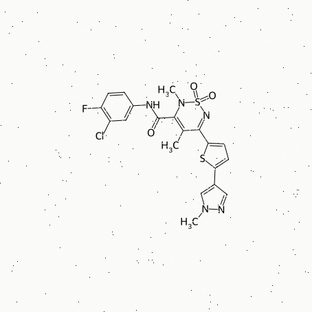 CC1=C(C(=O)Nc2ccc(F)c(Cl)c2)N(C)S(=O)(=O)N=C1c1ccc(-c2cnn(C)c2)s1